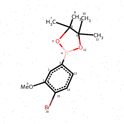 COc1cc(B2OC(C)(C)C(C)(C)O2)ccc1Br